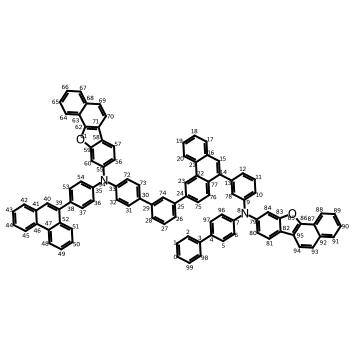 c1ccc(-c2ccc(N(c3cccc(-c4cc5ccccc5c5cc(-c6cccc(-c7ccc(N(c8ccc(-c9cc%10ccccc%10c%10ccccc9%10)cc8)c8ccc9c(c8)oc8c%10ccccc%10ccc98)cc7)c6)ccc45)c3)c3ccc4c(c3)oc3c5ccccc5ccc43)cc2)cc1